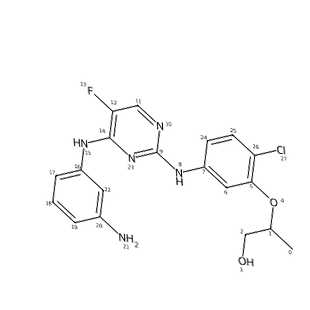 CC(CO)Oc1cc(Nc2ncc(F)c(Nc3cccc(N)c3)n2)ccc1Cl